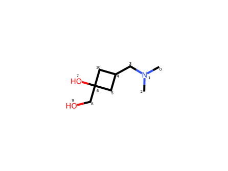 CN(C)CC1CC(O)(CO)C1